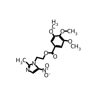 COc1cc(C(=O)OCCn2c([N+](=O)[O-])cnc2C)cc(OC)c1OC